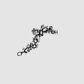 C[C@]1(c2ccc(Cl)cn2)Oc2cccc(C3CCN(Cc4nc5cc(C(=O)NO)cc(F)c5n4C[C@@H]4CCO4)CC3)c2O1